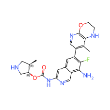 Cc1c(-c2cc3cc(NC(=O)O[C@H]4CNC[C@H]4C)ncc3c(N)c2F)cnc2c1NCCO2